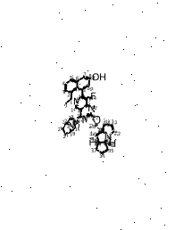 CCc1cccc2cc(O)cc(-c3ncc4c(N5CC6CCC(C5)N6)nc(OC[C@]56CCCN5[C@H]5CCC[C@@]5(F)C6)nc4c3F)c12